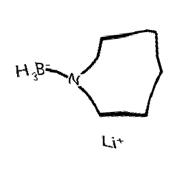 [BH3-]N1CCCCC1.[Li+]